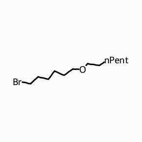 CCCCCCCOCCCCCCBr